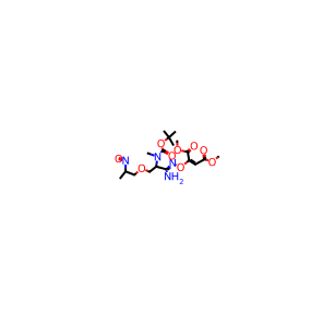 COC(=O)/C=C(/O/N=C(\N)C(COCC(C)N=O)N(C)C(=O)OC(C)(C)C)C(=O)OC